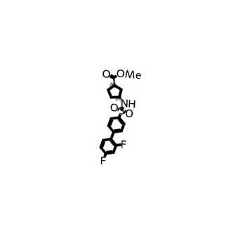 COC(=O)[C@@H]1CC[C@@H](NS(=O)(=O)c2ccc(-c3ccc(F)cc3F)cc2)C1